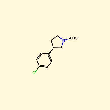 O=CN1CC[C@H](c2ccc(Cl)cc2)C1